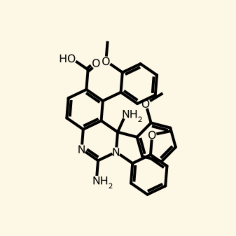 COc1ccccc1-c1c(C(=O)O)ccc2c1C(N)(c1ccccc1OC)N(c1ccccc1OC)C(N)=N2